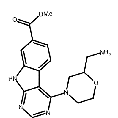 COC(=O)c1ccc2c(c1)[nH]c1ncnc(N3CCOC(CN)C3)c12